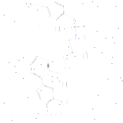 CSc1ccc(CC(C)(C)NC[C@H](O)CO[C@H](C)c2ccccc2-c2ccc(C(=O)O)c(C)c2)cc1F